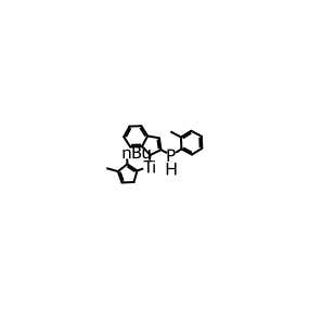 CCCCC1=[C]([Ti][CH]2C(Pc3ccccc3C)=Cc3ccccc32)CC=C1C